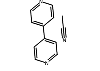 CC#N.c1cc(-c2ccncc2)ccn1